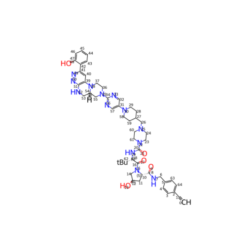 C#Cc1ccc(CNC(=O)[C@@H]2C[C@@H](O)CN2C(=O)[C@@H](NC(=O)N2CCN(CC3CCN(c4cnc(N5CCN6c7cc(-c8ccccc8O)nnc7NC[C@H]6C5)nc4)CC3)CC2)C(C)(C)C)cc1